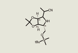 CC(C#N)C1N[C@H](CO[Si](C)(C)C(C)(C)C)[C@H]2OC(C)(C)O[C@@H]12